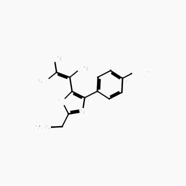 CNCc1nc(-c2ccc(C(=O)O)cc2)c(C(C#N)=C(C#N)C#N)s1